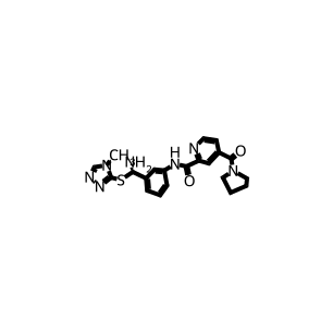 Cn1cnnc1S[C@@H](N)c1cccc(NC(=O)c2cc(C(=O)N3CCCC3)ccn2)c1